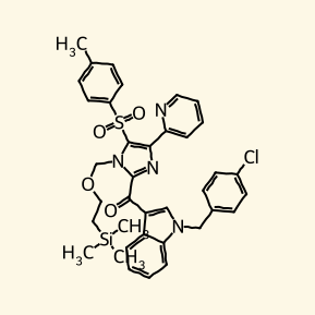 Cc1ccc(S(=O)(=O)c2c(-c3ccccn3)nc(C(=O)c3cn(Cc4ccc(Cl)cc4)c4ccccc34)n2COCC[Si](C)(C)C)cc1